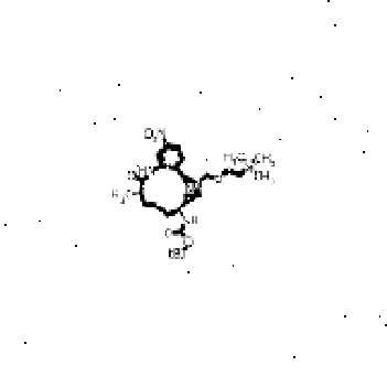 C[C@@H]1/C=C/C[C@H](NC(=O)OC(C)(C)C)c2cn(COCC[Si](C)(C)C)c(n2)-c2ccc([N+](=O)[O-])cc2NC1=O